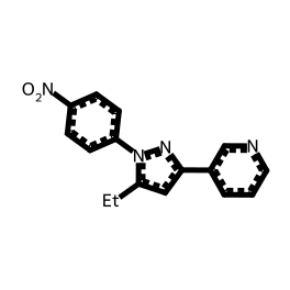 CCc1cc(-c2cccnc2)nn1-c1ccc([N+](=O)[O-])cc1